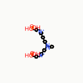 O=P(O)(O)Cc1ccc(C[n+]2ccc(-c3ccc(-c4ccc(-c5cc(-c6ccc(-c7cc[n+](Cc8ccc(CP(=O)(O)O)cc8)cc7)cc6)nc(-c6ccccc6)n5)cc4)cc3)cc2)cc1